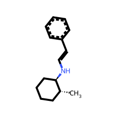 C[C@@H]1CCCC[C@H]1NC=Cc1ccccc1